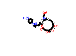 C/C(=C\c1ccn(-c2ccc(N)cc2)n1)[C@@H]1C[C@@H]2N(CCO)[C@]2(C)CCC[C@H](C)[C@H](O)[C@@H](C)C(=O)C(C)(C)[C@@H](O)CC(=O)O1